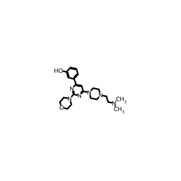 CN(C)CCN1CCN(c2cc(-c3cccc(O)c3)nc(N3CCOCC3)n2)CC1